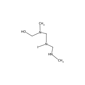 CNCN(I)CN(C)CO